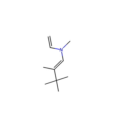 C=CN(C)/C=C(\C)C(C)(C)C